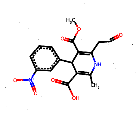 COC(=O)C1=C(CC=O)NC(C)=C(C(=O)O)C1c1cccc([N+](=O)[O-])c1